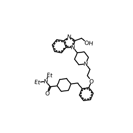 CCN(CC)C(=O)C1CCC(Cc2ccccc2OCCN2CCC(n3c(CO)nc4ccccc43)CC2)CC1